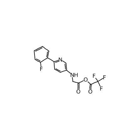 O=C(CNc1ccc(-c2ccccc2F)nc1)OC(=O)C(F)(F)F